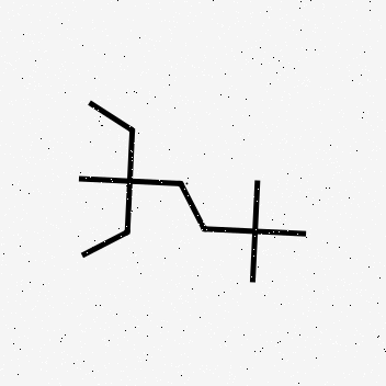 CCC(C)([CH]CC(C)(C)C)CC